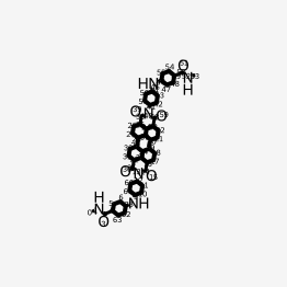 CNC(=O)c1ccc(Nc2ccc(N3C(=O)c4ccc5c6ccc7c8c(ccc(c9ccc(c4c59)C3=O)c86)C(=O)N(c3ccc(Nc4ccc(C(=O)NC)cc4)cc3)C7=O)cc2)cc1